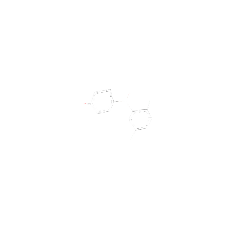 [O-][S+](c1ccc(O)cc1)c1cc(Br)ccc1Br